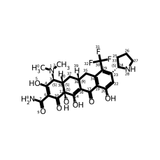 CN(C)[C@@H]1C(O)=C(C(N)=O)C(=O)[C@@]2(O)C(O)=C3C(=O)c4c(O)cc([C@@H]5CCCN5)c(C(F)(F)F)c4C[C@H]3C[C@@H]12